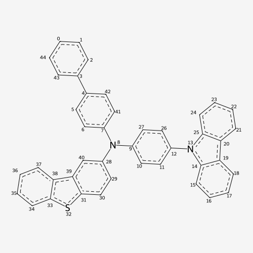 c1ccc(-c2ccc(N(c3ccc(-n4c5ccccc5c5ccccc54)cc3)c3ccc4sc5ccccc5c4c3)cc2)cc1